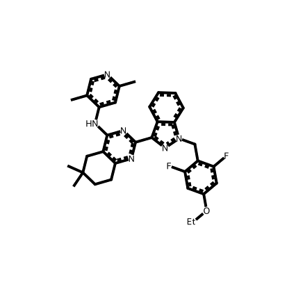 CCOc1cc(F)c(Cn2nc(-c3nc4c(c(Nc5cc(C)ncc5C)n3)CC(C)(C)CC4)c3ccccc32)c(F)c1